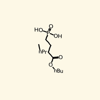 CCCC.CCCCOC(=O)CCCP(=O)(O)O